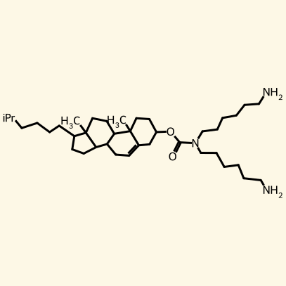 CC(C)CCCCC1CCC2C3CC=C4CC(OC(=O)N(CCCCCCN)CCCCCCN)CCC4(C)C3CCC12C